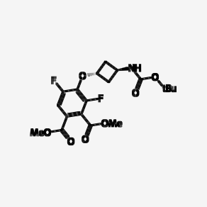 COC(=O)c1cc(F)c(O[C@H]2C[C@H](NC(=O)OC(C)(C)C)C2)c(F)c1C(=O)OC